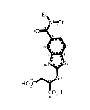 CCN(CC)C(=O)c1ccc2sc(SC(CC(=O)O)C(=O)O)nc2c1